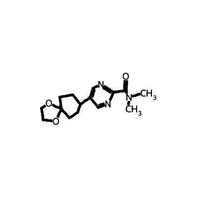 CN(C)C(=O)c1ncc(C2CCC3(CC2)OCCO3)cn1